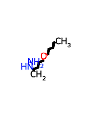 C=C(CCCOCCCCC)NN